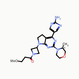 COCCC(=O)N1CC(N2CCc3c(-c4cnc(N)nc4)nc(N4CCOC[C@@H]4C)nc32)C1